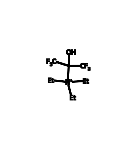 CC[N+](CC)(CC)C(O)(C(F)(F)F)C(F)(F)F